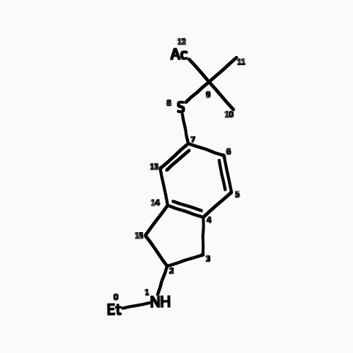 CCNC1Cc2ccc(SC(C)(C)C(C)=O)cc2C1